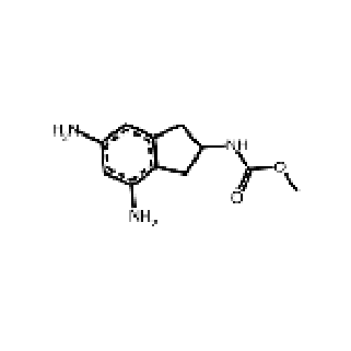 COC(=O)NC1Cc2cc(N)cc(N)c2C1